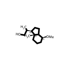 CO[C@H]1CCC[C@@]2(C)C1CC[C@@H]2C(C)CO